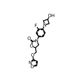 O=C1OC(COc2ccon2)CN1c1ccc(N2CC(O)C2)c(F)c1